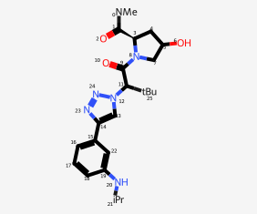 CNC(=O)[C@H]1CC(O)CN1C(=O)C(n1cc(-c2cccc(NC(C)C)c2)nn1)C(C)(C)C